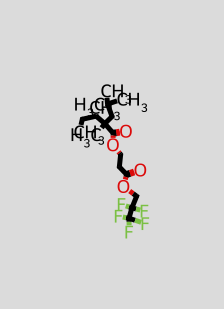 CCC(C)C(C)(CC(C)(C)C)C(=O)OCCC(=O)OCC(F)(F)C(F)(F)F